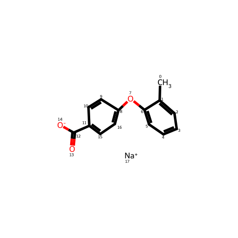 Cc1ccccc1Oc1ccc(C(=O)[O-])cc1.[Na+]